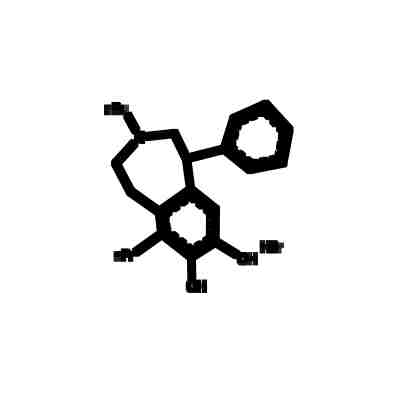 Br.CCCCN1CCc2c(cc(O)c(O)c2CCC)C(c2ccccc2)C1